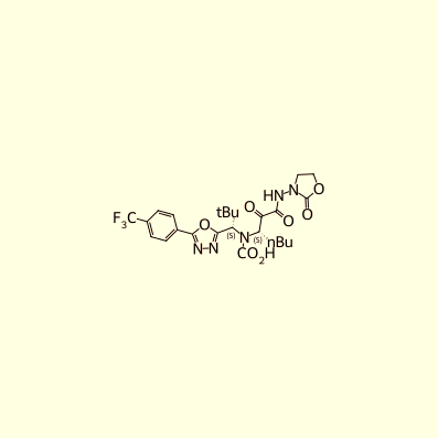 CCCC[C@@H](C(=O)C(=O)NN1CCOC1=O)N(C(=O)O)[C@H](c1nnc(-c2ccc(C(F)(F)F)cc2)o1)C(C)(C)C